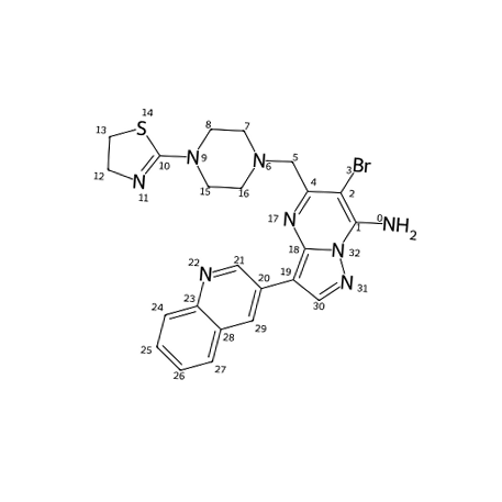 Nc1c(Br)c(CN2CCN(C3=NCCS3)CC2)nc2c(-c3cnc4ccccc4c3)cnn12